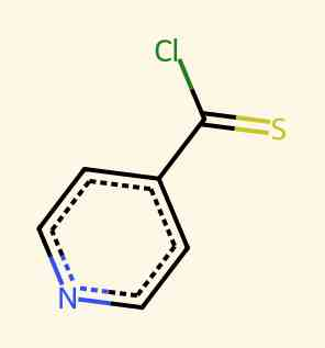 S=C(Cl)c1ccncc1